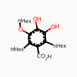 CCCCCCOc1c(O)c(O)c(CCCCCC)c(C(=O)O)c1CCCCCC